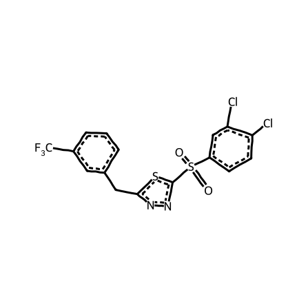 O=S(=O)(c1ccc(Cl)c(Cl)c1)c1nnc(Cc2cccc(C(F)(F)F)c2)s1